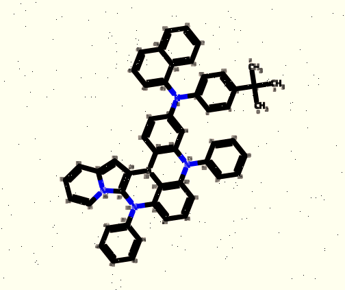 CC(C)(C)c1ccc(N(c2ccc3c(c2)N(c2ccccc2)c2cccc4c2B3c2cc3ccccn3c2N4c2ccccc2)c2cccc3ccccc23)cc1